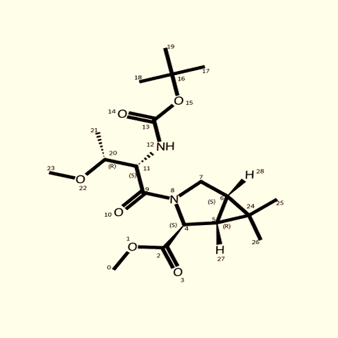 COC(=O)[C@@H]1[C@@H]2[C@H](CN1C(=O)[C@@H](NC(=O)OC(C)(C)C)[C@@H](C)OC)C2(C)C